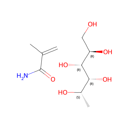 C=C(C)C(N)=O.C[C@H](O)[C@@H](O)[C@H](O)[C@H](O)CO